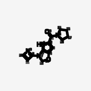 O=C(c1cc2c([nH]1)N(C1=NC=C1)CO2)N1CCCC1